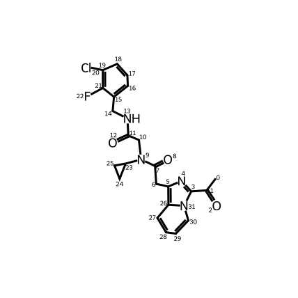 CC(=O)c1nc(CC(=O)N(CC(=O)NCc2cccc(Cl)c2F)C2CC2)c2ccccn12